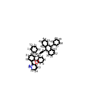 C(#C[Si](c1ccccc1)(c1ccccc1)c1cccc2c1oc1cccnc12)c1c2ccccc2c(-c2ccccc2)c2ccccc12